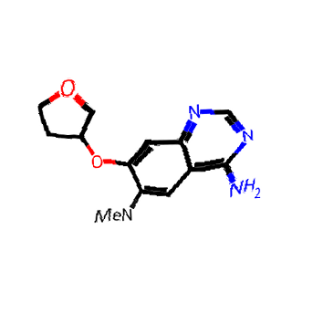 CNc1cc2c(N)ncnc2cc1OC1CCOC1